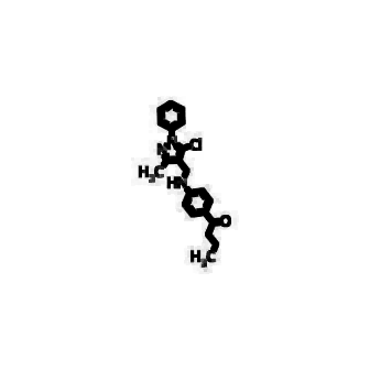 CCCC(=O)c1ccc(NCc2c(C)nn(-c3ccccc3)c2Cl)cc1